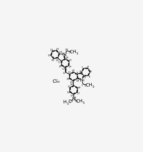 CCn1c2ccccc2c2cc(C=c3ccc4c(c3)-c3ccccc3[N+]=4CC)cc(-c3ccc(N(C)C)cc3)c21.[Cl-]